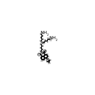 NCCCCCN(CCCCCN)CCCCCN1C(=O)c2cccc3c(N4CCC4)ccc(c23)C1=O